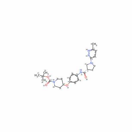 Cc1ccc(N2CC[C@H](C(=O)Nc3ccc(OC4CCN(C(=O)OC(C)(C)C)CC4)cc3)C2)nn1